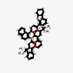 CC(C)(C)c1ccc(N(c2ccc3c(c2)C(C)(C)c2ccccc2-3)c2ccc3ccccc3c2-c2ccc(-c3cccc4c3sc3ccccc34)cc2)c(-c2ccccc2)c1